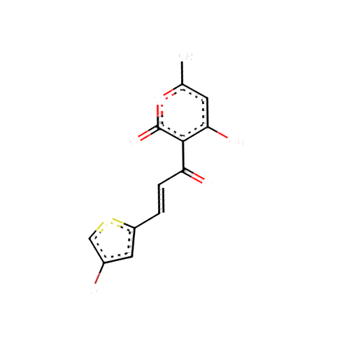 Cc1cc(O)c(C(=O)C=Cc2cc(Br)cs2)c(=O)o1